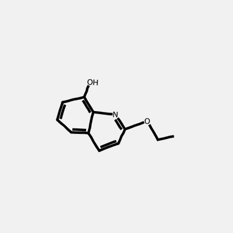 CCOc1ccc2cccc(O)c2n1